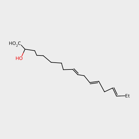 CC/C=C/C/C=C/C/C=C/CCCCCCC(O)C(=O)O